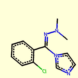 CN(C)N=C(c1ccccc1Cl)n1ccnc1